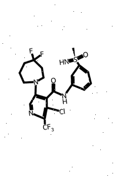 C[S@@](=N)(=O)c1cccc(NC(=O)c2c(N3CCCC(F)(F)CC3)cnc(C(F)(F)F)c2Cl)c1